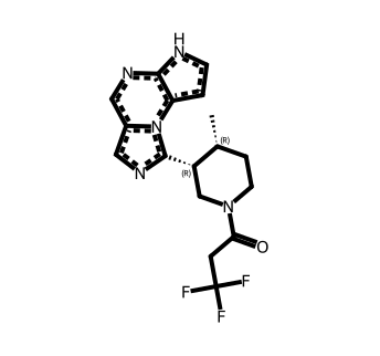 C[C@@H]1CCN(C(=O)CC(F)(F)F)C[C@@H]1c1ncc2cnc3[nH]ccc3n12